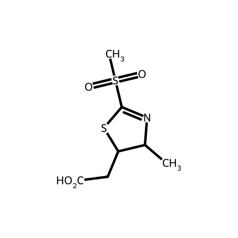 CC1N=C(S(C)(=O)=O)SC1CC(=O)O